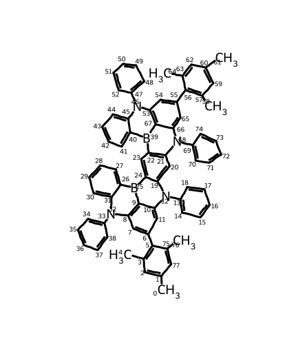 Cc1cc(C)c(-c2cc3c4c(c2)N(c2ccccc2)c2cc5c(cc2B4c2ccccc2N3c2ccccc2)B2c3ccccc3N(c3ccccc3)c3cc(-c4c(C)cc(C)cc4C)cc(c32)N5c2ccccc2)c(C)c1